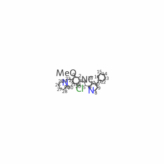 COc1cc(CCc2nccc(-c3ccccc3)c2C#N)c(Cl)cc1CN1CCCC[C@H]1C